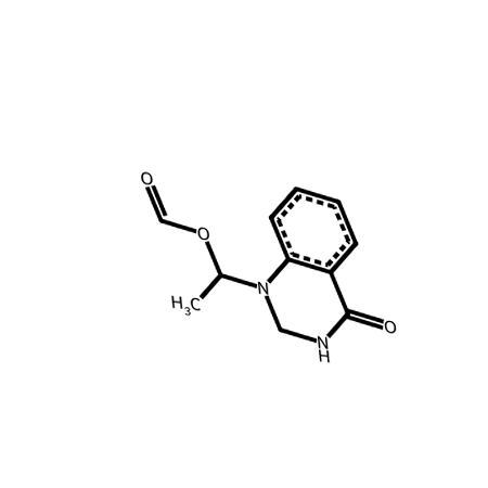 CC(OC=O)N1CNC(=O)c2ccccc21